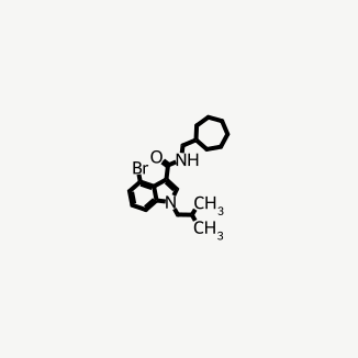 CC(C)Cn1cc(C(=O)NCC2CCCCCC2)c2c(Br)cccc21